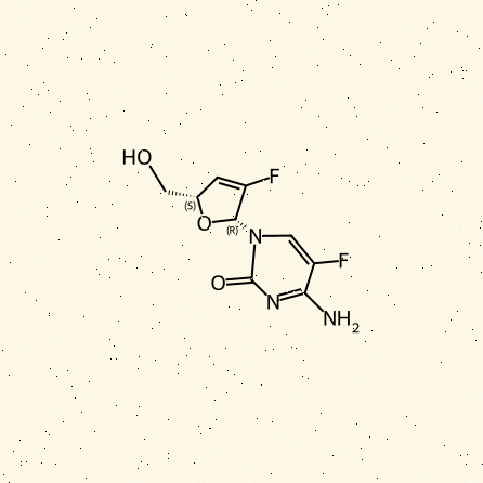 Nc1nc(=O)n([C@@H]2O[C@H](CO)C=C2F)cc1F